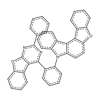 c1ccc(-c2nc(-c3ccccc3-n3c4ccccc4c4c5c(ccc43)oc3ccccc35)c3c(n2)oc2ccccc23)cc1